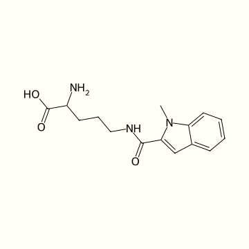 Cn1c(C(=O)NCCCC(N)C(=O)O)cc2ccccc21